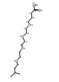 CC(C)CCOCCOCCOCCOCCCC(=O)O